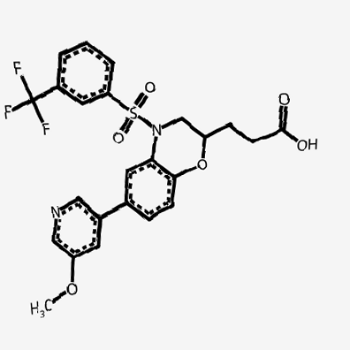 COc1cncc(-c2ccc3c(c2)N(S(=O)(=O)c2cccc(C(F)(F)F)c2)CC(CCC(=O)O)O3)c1